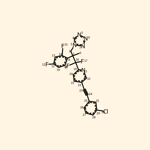 CC(Cn1cnnn1)(c1ccc(F)cc1F)C(F)(F)c1ccc(C#Cc2cccc(Cl)c2)cn1